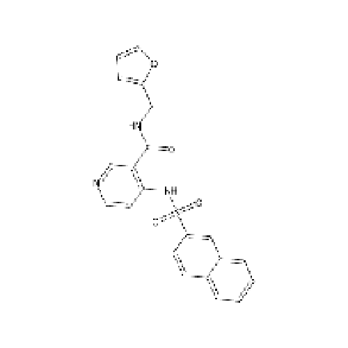 O=C(NCc1ccco1)c1cnccc1NS(=O)(=O)c1ccc2ccccc2c1